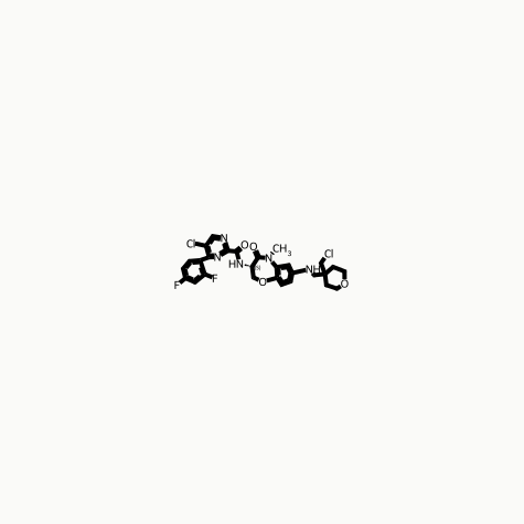 CN1C(=O)[C@@H](NC(=O)c2ncc(Cl)c(-c3ccc(F)cc3F)n2)COc2ccc(NCC3(CCl)CCOCC3)cc21